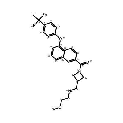 COCCNCC1CN(C(=O)c2ccc3c(Oc4ccc(C(C)(F)F)cc4)cccc3c2)C1